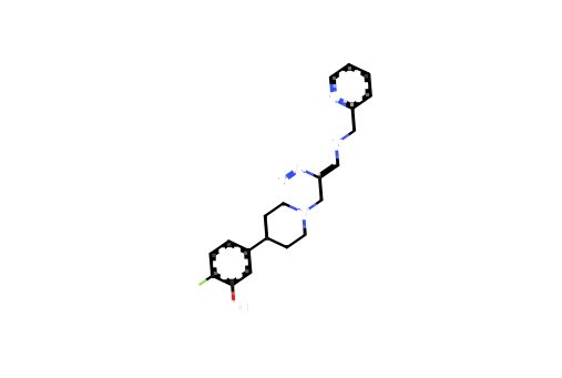 N=N/C(=C\NCc1ccccn1)CN1CCC(c2ccc(F)c(O)c2)CC1